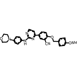 COc1ccc(COc2ccc(-c3ccnc(Nc4ccc(N5CCOCC5)cc4)n3)cc2C#N)cc1